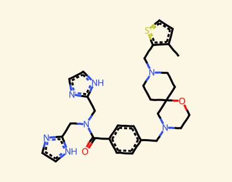 Cc1ccsc1CN1CCC2(CC1)CN(Cc1ccc(C(=O)N(Cc3ncc[nH]3)Cc3ncc[nH]3)cc1)CCO2